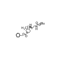 CC(C)(C)OC(=O)NCCN[C@H]1CCN(C(=O)OCc2ccccc2)CC1(C)C